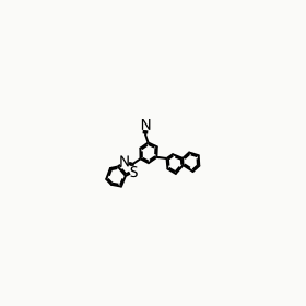 N#Cc1cc(-c2ccc3ccccc3c2)cc(-c2nc3ccccc3s2)c1